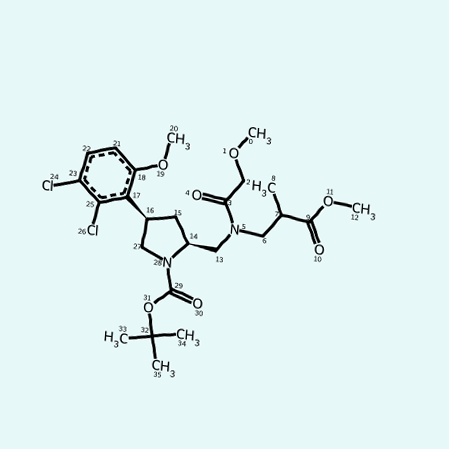 COCC(=O)N(CC(C)C(=O)OC)C[C@@H]1C[C@H](c2c(OC)ccc(Cl)c2Cl)CN1C(=O)OC(C)(C)C